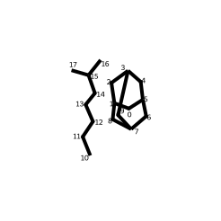 C1C2CC3CC1CC(C2)C3.CCCCCC(C)C